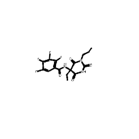 CCCN1C(=O)NC(=O)C(CC)(NC(=O)c2cc(F)c(F)c(F)c2F)C1=O